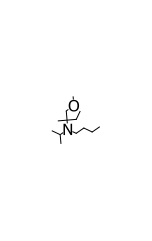 CCCCN(C(C)C)C(C)(CC)COC